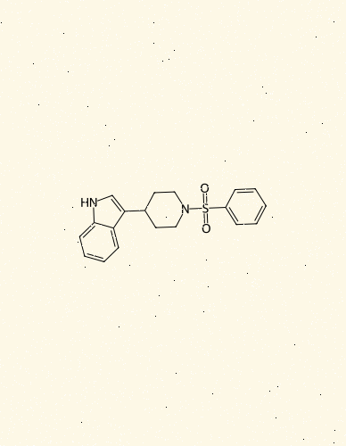 O=S(=O)(c1ccccc1)N1CCC(c2c[nH]c3ccccc23)CC1